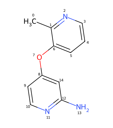 Cc1ncccc1Oc1ccnc(N)c1